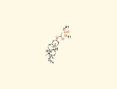 CCOP(=O)(CC(=O)OC1CC[C@@]2(C)C(=CC[C@H]3[C@@H]4CC[C@H](C(C)=O)[C@@]4(C)CC[C@@H]32)C1)OCC